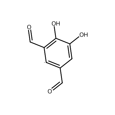 O=Cc1[c]c(C=O)c(O)c(O)c1